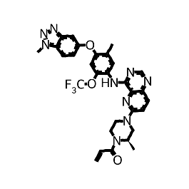 C=CC(=O)N1CCN(c2ccc3ncnc(Nc4cc(C)c(Oc5ccc6c(c5)nnn6C)cc4OC(F)(F)F)c3n2)C[C@H]1C